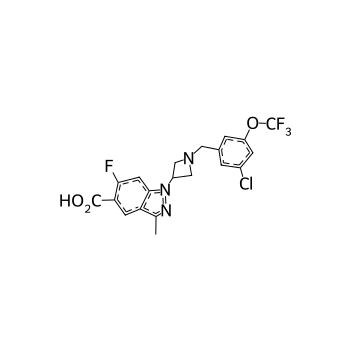 Cc1nn(C2CN(Cc3cc(Cl)cc(OC(F)(F)F)c3)C2)c2cc(F)c(C(=O)O)cc12